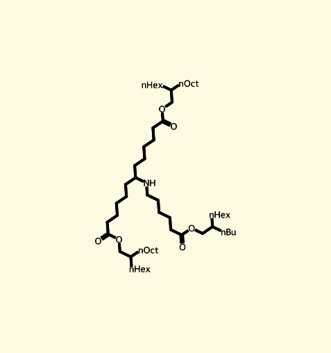 CCCCCCCCC(CCCCCC)COC(=O)CCCCCC(CCCCCC(=O)OCC(CCCCCC)CCCCCCCC)NCCCCCC(=O)OCC(CCCC)CCCCCC